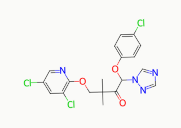 CC(C)(COc1ncc(Cl)cc1Cl)C(=O)C(Oc1ccc(Cl)cc1)n1cncn1